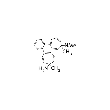 CNC1(C)C=CC=C(c2ccccc2C2=CC=CC(C)(N)C=C2)C=C1